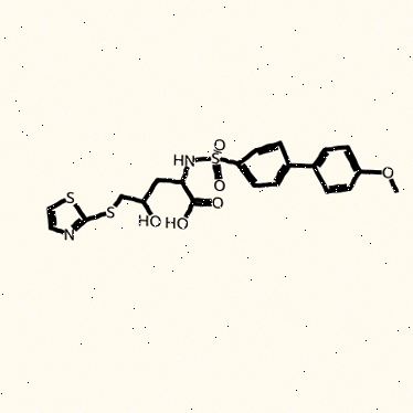 COc1ccc(-c2ccc(S(=O)(=O)NC(CC(O)CSc3nccs3)C(=O)O)cc2)cc1